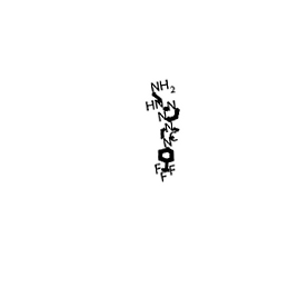 NCCNc1nccc(N2CCN(c3ccc(C(F)(F)F)cc3)CC2)n1